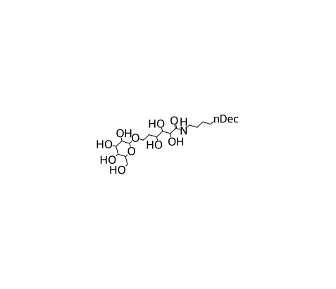 CCCCCCCCCCCCCCNC(=O)C(O)C(O)C(O)CCOC1OC(CO)C(O)C(O)C1O